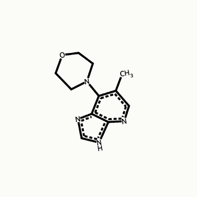 Cc1cnc2[nH]cnc2c1N1CCOCC1